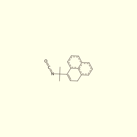 CC(C)(N=C=O)C1=CCc2cccc3cccc1c23